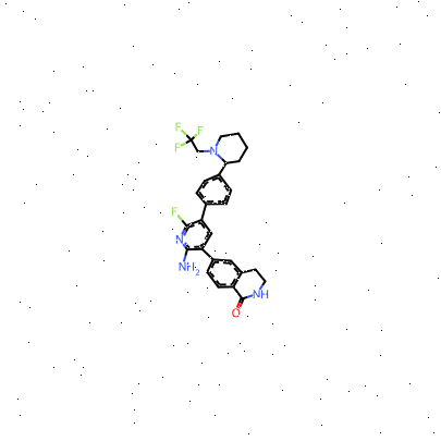 Nc1nc(F)c(-c2ccc(C3CCCCN3CC(F)(F)F)cc2)cc1-c1ccc2c(c1)CCNC2=O